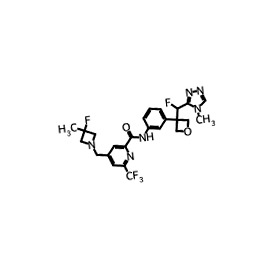 Cn1cnnc1C(F)C1(c2cccc(NC(=O)c3cc(CN4CC(C)(F)C4)cc(C(F)(F)F)n3)c2)COC1